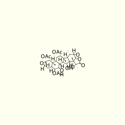 CC(=O)O[C@@H]1[C@H](O)[C@H]2[C@@H]3[C@@H](O)[C@@H]4[C@H]([C@H](C)[C@@H]5O[C@@]56OC(=O)[C@@](C)(O)[C@]46C)[C@@]3(C)[C@@H](OC(C)=O)[C@@H](C)[C@@H]2[C@]2(C)[C@@H]1C[C@@H]1O[C@@H]1[C@@H]2OC(C)=O